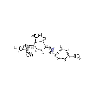 Cc1cc(/N=N/c2ccc([N+](=O)[O-])cc2)ccc1NC(C)O